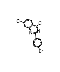 Clc1ccc2c(Cl)nc(-c3ccc(Br)cc3)nc2c1